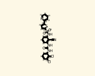 N#Cc1c(NC(=O)Nc2cccc(Cl)c2Cl)cccc1NS(=O)(=O)c1ccc(-c2ccccn2)s1